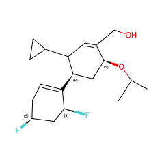 CC(C)O[C@H]1C[C@@H](C2=CC[C@H](F)C[C@@H]2F)C(C2CC2)C=C1CO